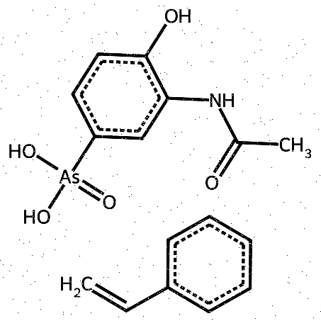 C=Cc1ccccc1.CC(=O)Nc1cc([As](=O)(O)O)ccc1O